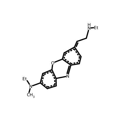 CCNCC=c1ccc2c(c1)Oc1cc(N(C)CC)ccc1N=2